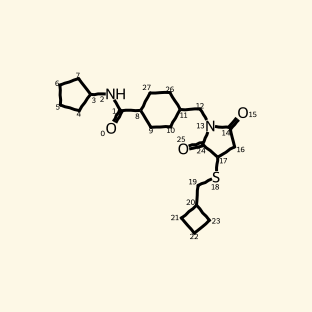 O=C(NC1CCCC1)C1CCC(CN2C(=O)CC(SCC3CCC3)C2=O)CC1